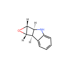 c1ccc2c(c1)N[C@@H]1[C@H]3O[C@H]3[C@H]21